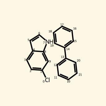 Clc1ccc2cc[nH]c2c1.c1ccc(-c2ccccc2)cc1